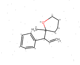 C=CC(c1ccccc1)C1([SiH3])CCCCO1